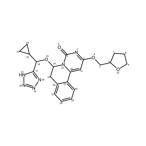 O=c1nc(OCC2CCCO2)cc2n1C(OC(c1nnn[nH]1)C1CC1)Cc1ccccc1-2